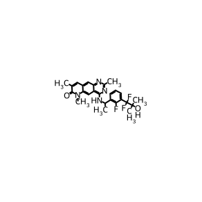 Cc1nc(NC(C)c2cccc(C(F)(F)C(C)(C)O)c2F)c2cc3c(cc(C)c(=O)n3C)cc2n1